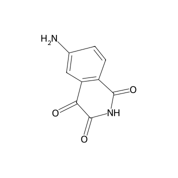 Nc1ccc2c(c1)C(=O)C(=O)NC2=O